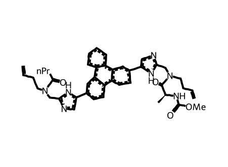 C=CCCN(Cc1ncc(-c2ccc3c4ccc(-c5cnc(CN(CCC=C)C(=O)[C@H](C)NC(=O)OC)[nH]5)cc4c4ccccc4c3c2)[nH]1)C(=O)CCC